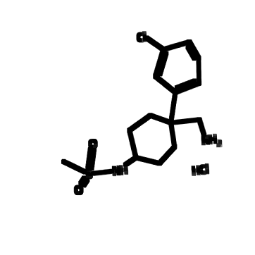 CS(=O)(=O)NC1CCC(CN)(c2cccc(Cl)c2)CC1.Cl